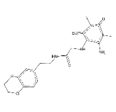 Cn1c(N)c(NCC(=O)NCCc2ccc3c(c2)OCCO3)c(=O)n(C)c1=O